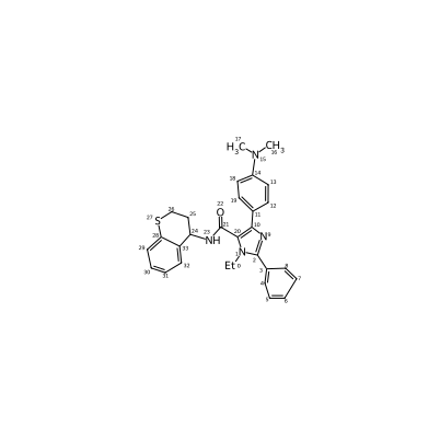 CCn1c(-c2ccccc2)nc(-c2ccc(N(C)C)cc2)c1C(=O)NC1CCSc2ccccc21